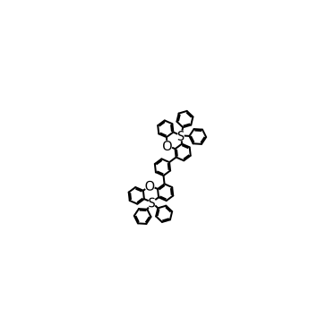 c1ccc(S2(c3ccccc3)c3ccccc3Oc3c(-c4cccc(-c5cccc6c5Oc5ccccc5S6(c5ccccc5)c5ccccc5)c4)cccc32)cc1